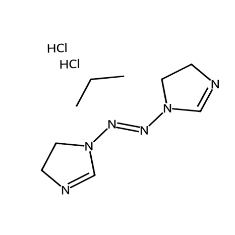 C1=NCCN1N=NN1C=NCC1.CCC.Cl.Cl